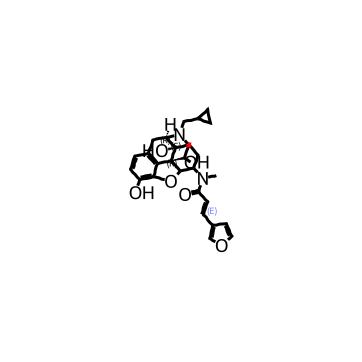 CN(C(=O)/C=C/c1ccoc1)C1CC[C@@]2(O)[C@H]3Cc4ccc(O)c5c4[C@@]2(C(O)CN3CC2CC2)C1O5